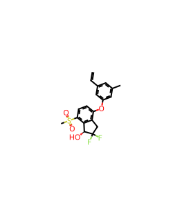 C=Cc1cc(C)cc(Oc2ccc(S(C)(=O)=O)c3c2CC(F)(F)[C@H]3O)c1